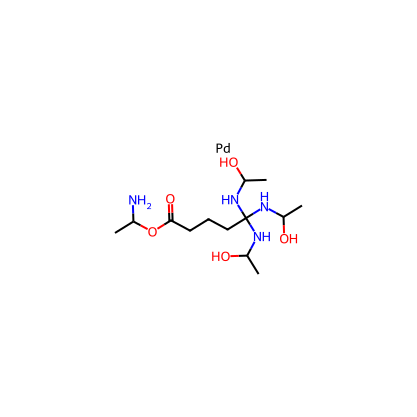 CC(O)NC(CCCC(=O)OC(C)N)(NC(C)O)NC(C)O.[Pd]